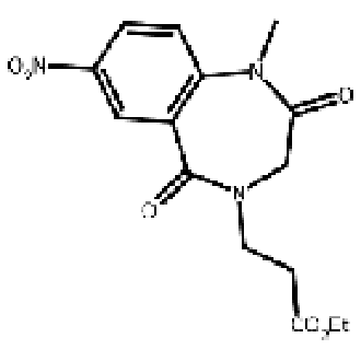 CCOC(=O)CCN1CC(=O)N(C)c2ccc([N+](=O)[O-])cc2C1=O